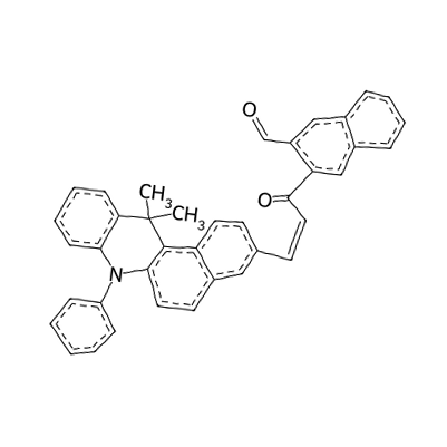 CC1(C)c2ccccc2N(c2ccccc2)c2ccc3cc(/C=C\C(=O)c4cc5ccccc5cc4C=O)ccc3c21